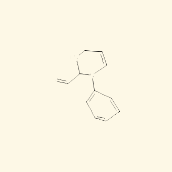 O=CC1NCC=CN1c1ccccc1